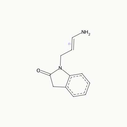 N/C=C/CN1C(=O)Cc2ccccc21